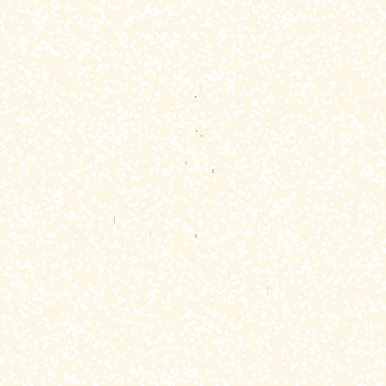 COC(Oc1ccc(C2CC2C(=O)c2cccc(N3CCNCC3)c2)cc1)C(=O)O.O=C(O)C(F)(F)F